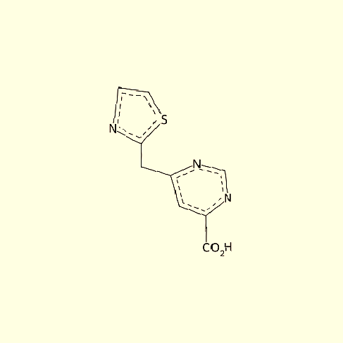 O=C(O)c1cc(Cc2nccs2)ncn1